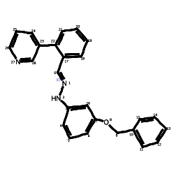 C(=N\Nc1cccc(OCc2ccccc2)c1)/c1ccccc1-c1cccnc1